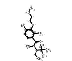 CC[C@@H](N(N)C(=O)c1ccc(Br)c(OCCOC)c1C)C(C)(C)C